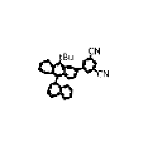 CC(C)(C)c1c2ccccc2c(-c2cccc3ccccc23)c2ccc(-c3cc(C#N)cc(C#N)c3)cc12